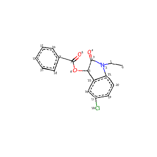 CCN1C(=O)C(OC(=O)c2ccccc2)c2cc(Cl)ccc21